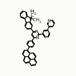 CC1(C)c2ccccc2-c2ccc(-c3cc(-c4ccc(-c5ccc6ccc7cccc8ccc5c6c78)cc4)nc(-c4cccc(-c5cccnc5)c4)n3)cc21